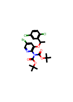 CC(Oc1cc(Br)cnc1N(C(=O)OC(C)(C)C)C(=O)OC(C)(C)C)c1cc(Cl)ccc1Cl